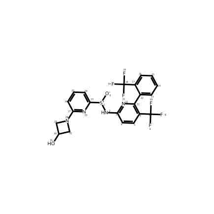 [O-][S+](Nc1ccc(C(F)(F)F)c(-c2ccccc2C(F)(F)F)n1)c1cccc(N2CC(O)C2)n1